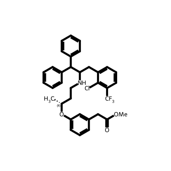 COC(=O)Cc1cccc(O[C@H](C)CCNC(Cc2cccc(C(F)(F)F)c2Cl)C(c2ccccc2)c2ccccc2)c1